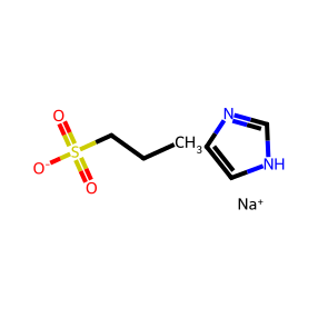 CCCS(=O)(=O)[O-].[Na+].c1c[nH]cn1